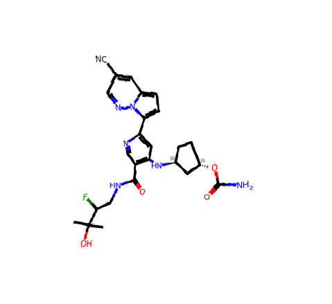 CC(C)(O)C(F)CNC(=O)c1cnc(-c2ccc3cc(C#N)cnn23)cc1N[C@H]1CC[C@H](OC(N)=O)C1